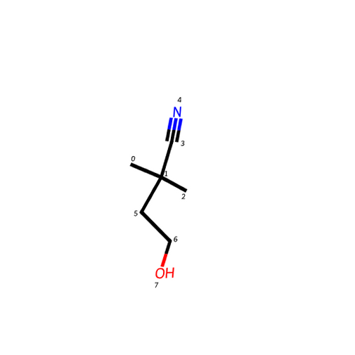 CC(C)(C#N)CCO